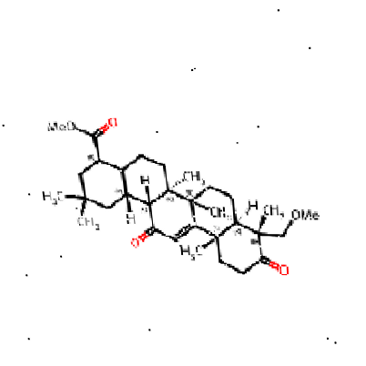 COC[C@]1(C)C(=O)CC[C@]2(C)C3=CC(=O)[C@@H]4[C@@H]5CC(C)(C)C[C@@H](C(=O)OC)C5CC[C@@]4(C)[C@]3(C)CC[C@@H]12